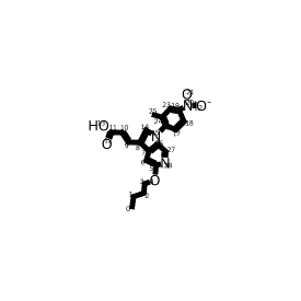 CCCCOc1cc2c(/C=C/C(=O)O)cn(-c3ccc([N+](=O)[O-])cc3C)c2cn1